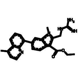 CCOC(=O)c1c(CNC(=N)N)n(C)c2cc(-c3cccc4c(C)ccnc34)ccc12